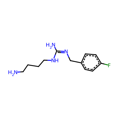 NCCCCNC(N)=NCc1ccc(F)cc1